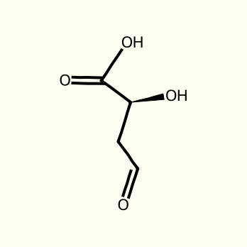 O=CC[C@H](O)C(=O)O